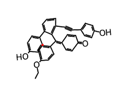 CCOc1ccc(C(=C2C=CC(=O)C=C2)c2c(C#Cc3ccc(O)cc3)cccc2-c2ccc(O)cc2)cc1